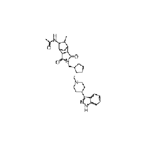 CC(=O)NC1C(C)C2CC1C1C(=O)N(C[C@H]3CCC[C@@H]3CN3CCC(c4n[nH]c5ccccc45)CC3)C(=O)C21